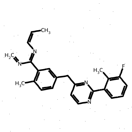 C=N/C(=N\C=C/C)c1cc(Cc2ccnc(-c3cccc(F)c3C)n2)ccc1C